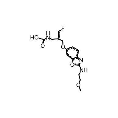 COCCNc1nc2ccc(OC/C(=C\F)CNC(=O)O)cc2o1